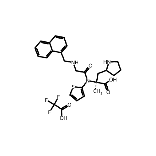 C[C@](CC1CCCN1)(C(=O)O)N(C(=O)CNCc1cccc2ccccc12)c1cccs1.O=C(O)C(F)(F)F